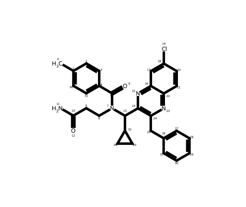 Cc1ccc(C(=O)N(CCC(N)=O)C(c2nc3cc(Cl)ccc3nc2Cc2ccccc2)C2CC2)cc1